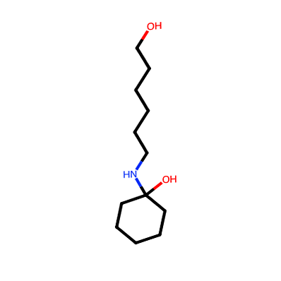 OCCCCCCNC1(O)CCCCC1